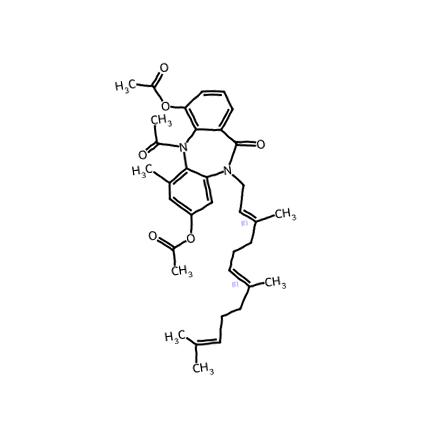 CC(=O)Oc1cc(C)c2c(c1)N(C/C=C(\C)CC/C=C(\C)CCC=C(C)C)C(=O)c1cccc(OC(C)=O)c1N2C(C)=O